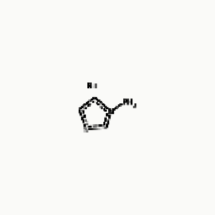 Pn1ccnc1.[Ru]